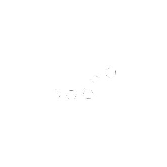 CN(C)C(=O)c1ccc(-c2cncc(-c3nnc(-c4ccccc4I)o3)n2)cc1